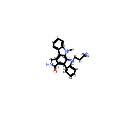 Cn1c2ccccc2c2c3c(c4c5ccccc5n(CCC#N)c4c21)C(=O)NC3